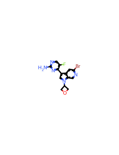 Nc1ncc(F)c(-c2cn(C3COC3)c3cnc(Br)cc23)n1